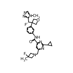 Cn1cnnc1[C@@H](F)C1(c2cccc(NC(=O)c3cc(CN4CC(C)(F)C4)nc(C4CC4)n3)c2)COC1